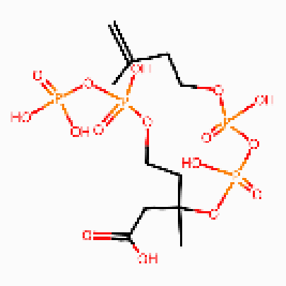 C=C(C)CCOP(=O)(O)OP(=O)(O)OC(C)(CCOP(=O)(O)OP(=O)(O)O)CC(=O)O